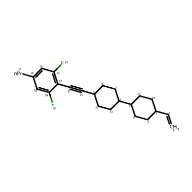 C=CC1CCC(C2CCC(C#Cc3c(F)cc(CCC)cc3F)CC2)CC1